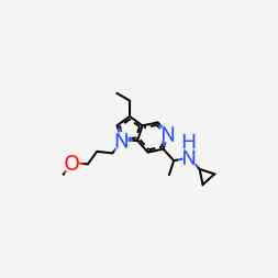 CCc1cn(CCCOC)c2cc(C(C)NC3CC3)ncc12